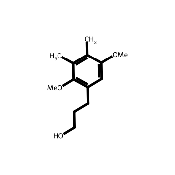 COc1cc(CCCO)c(OC)c(C)c1C